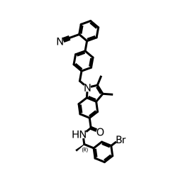 Cc1c(C)n(Cc2ccc(-c3ccccc3C#N)cc2)c2ccc(C(=O)N[C@H](C)c3cccc(Br)c3)cc12